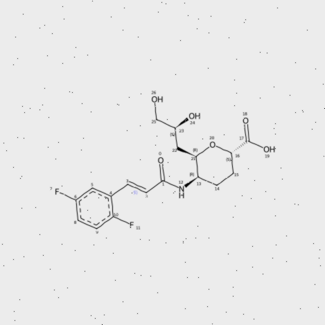 O=C(/C=C/c1cc(F)ccc1F)N[C@@H]1CC[C@@H](C(=O)O)O[C@@H]1C[C@H](O)CO